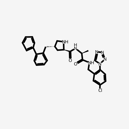 C[C@H](NC(=O)[C@H]1C[C@H](Cc2ccccc2-c2ccccc2)CN1)C(=O)NCc1cc(Cl)ccc1-n1cnnn1